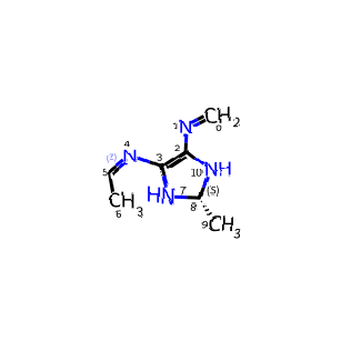 C=NC1=C(/N=C\C)N[C@@H](C)N1